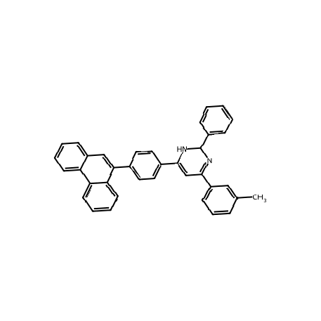 Cc1cccc(C2=NC(c3ccccc3)NC(c3ccc(-c4cc5ccccc5c5ccccc45)cc3)=C2)c1